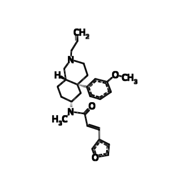 C=CCN1CC[C@@]2(c3cccc(OC)c3)C[C@H](N(C)C(=O)/C=C/c3ccoc3)CC[C@@H]2C1